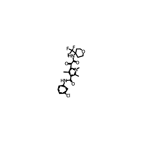 Cc1c(C(=O)Nc2cccc(Cl)c2)c(C)n(C)c1C(=O)C(=O)NC1(C(F)(F)F)CCOCC1